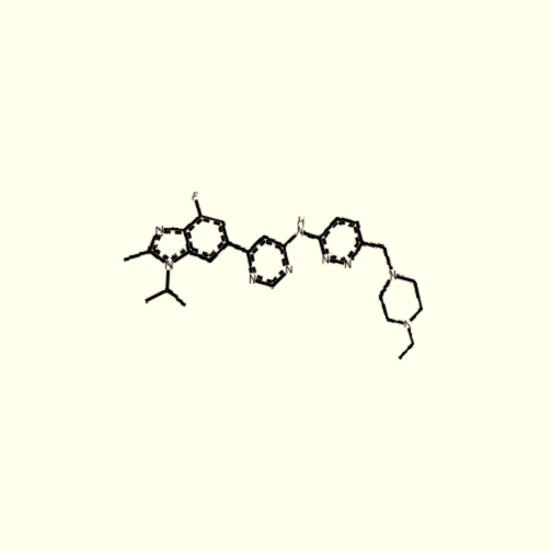 CCN1CCN(Cc2ccc(Nc3cc(-c4cc(F)c5nc(C)n(C(C)C)c5c4)ncn3)nn2)CC1